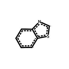 [c]1nc2ccc[c]c2s1